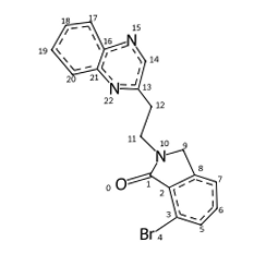 O=C1c2c(Br)cccc2CN1CCc1cnc2ccccc2n1